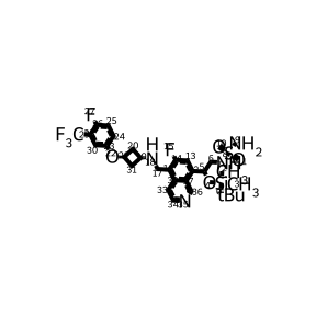 CC(C)(C)[Si](C)(C)OC(CNS(N)(=O)=O)c1cc(F)c(CN[C@H]2C[C@H](Oc3ccc(F)c(C(F)(F)F)c3)C2)c2ccncc12